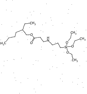 CCCCC(CC)COC(=O)CCNCCC[Si](OCC)(OCC)OCC